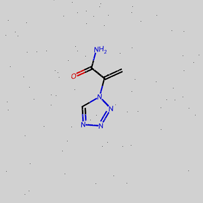 C=C(C(N)=O)n1cnnn1